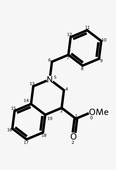 COC(=O)C1CN(Cc2ccccc2)Cc2ccccc21